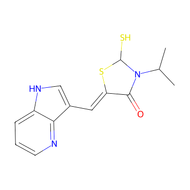 CC(C)N1C(=O)/C(=C/c2c[nH]c3cccnc23)SC1S